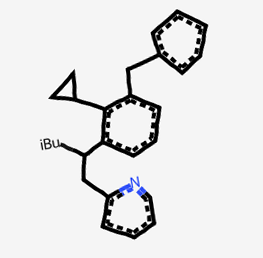 CCC(C)[C](Cc1ccccn1)c1cccc(Cc2ccccc2)c1C1CC1